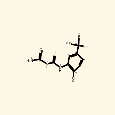 N=C(N)NC(=O)Nc1cc(C(F)(F)F)ccc1Cl